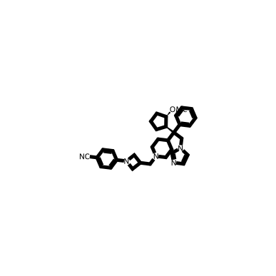 CO[C@H]1CCC[C@@H]1C(Cn1ccnc1)(c1ccccc1)C1CCN(CC2CN(c3ccc(C#N)cc3)C2)CC1